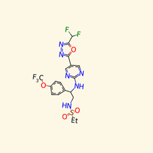 CCS(=O)(=O)NCC(Nc1ncc(-c2nnc(C(F)F)o2)cn1)c1ccc(OC(F)(F)F)cc1